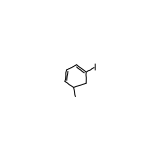 CC1C=CC=C(I)C1